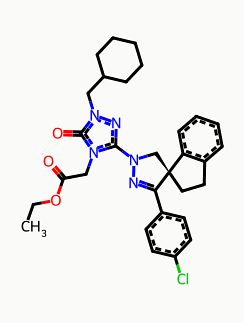 CCOC(=O)Cn1c(N2C[C@@]3(CCc4ccccc43)C(c3ccc(Cl)cc3)=N2)nn(CC2CCCCC2)c1=O